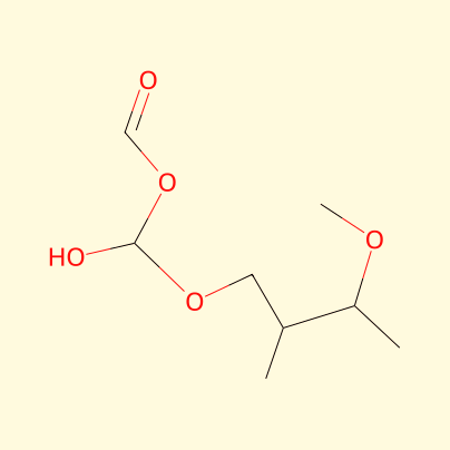 COC(C)C(C)COC(O)OC=O